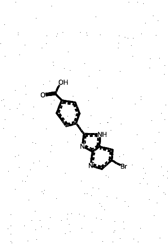 O=C(O)c1ccc(-c2nc3ncc(Br)cc3[nH]2)cc1